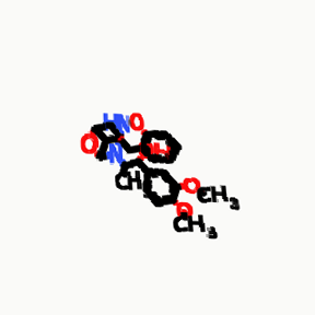 COc1ccc(C(O)C(C)N2CCC3OC2C3C2Cc3ccccc3ON2)cc1OC